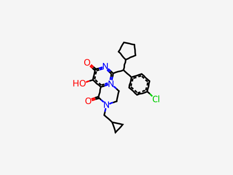 O=C1c2c(O)c(=O)nc(C(c3ccc(Cl)cc3)C3CCCC3)n2CCN1CC1CC1